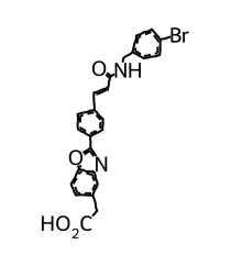 O=C(O)Cc1ccc2oc(-c3ccc(C=CC(=O)NCc4ccc(Br)cc4)cc3)nc2c1